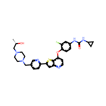 C[C@H](O)CN1CCN(Cc2ccc(-c3cc4nccc(Oc5ccc(NC(=O)NC6CC6)cc5F)c4s3)nc2)CC1